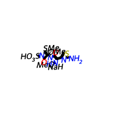 CON=C(C(=O)N[C@@]1(OC)C(=O)N(S(=O)(=O)O)[C@@H]1SC)c1csc(N)n1.[NaH]